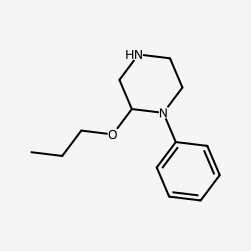 CCCOC1CNCCN1c1ccccc1